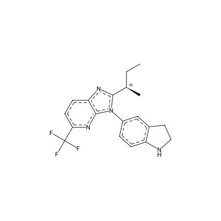 CC[C@@H](C)c1nc2ccc(C(F)(F)F)nc2n1-c1ccc2c(c1)CCN2